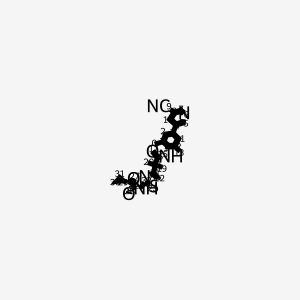 Cc1cc(-c2cncc(C#N)c2)cc(C)c1NC(=O)C(C)(C)c1csc(NS(=O)(=O)C2CC2)n1